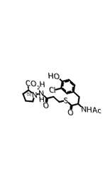 CC(=O)NC(Cc1ccc(O)c(Cl)c1)C(=O)SCCC(=O)NN1CCC[C@H]1C(=O)O